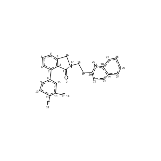 O=C1c2c(cccc2-c2ccc(F)c(F)c2)CN1CCc1ccc2ccccc2n1